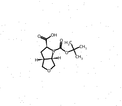 CC(C)(C)OC(=O)N1[C@@H]2COC[C@@H]2C[C@H]1C(=O)O